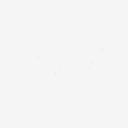 CCCCCCC(CCC[n+]1ccccc1)C(=O)NCCCCCCNC(=O)C(CCCCCC)CCC[n+]1ccccc1.[Br-].[Br-]